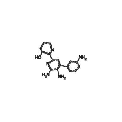 Nc1cccc(-c2cc(-c3ncccc3O)nc(N)c2N)c1